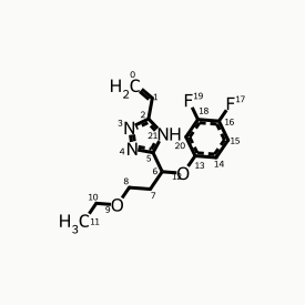 C=Cc1nnc(C(CCOCC)Oc2ccc(F)c(F)c2)[nH]1